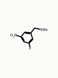 CSCc1cc(F)cc([N+](=O)[O-])c1